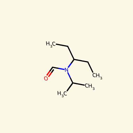 CCC(CC)N(C=O)C(C)C